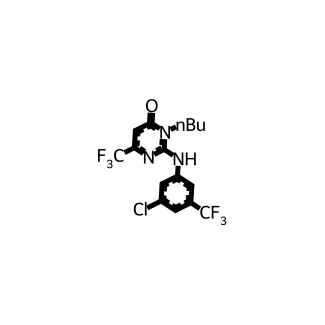 CCCCn1c(Nc2cc(Cl)cc(C(F)(F)F)c2)nc(C(F)(F)F)cc1=O